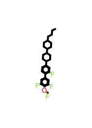 CCCCC1CCC(C2CCC(c3ccc(-c4cc(F)c(OCF)c(F)c4)c(F)c3)CC2)CC1